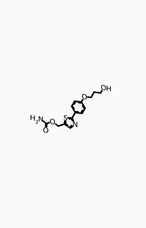 NC(=O)OCc1cnc(-c2ccc(OCCCO)cc2)s1